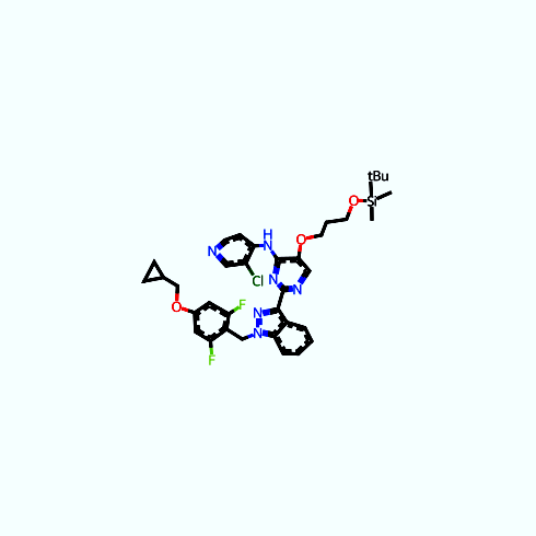 CC(C)(C)[Si](C)(C)OCCCOc1cnc(-c2nn(Cc3c(F)cc(OCC4CC4)cc3F)c3ccccc23)nc1Nc1ccncc1Cl